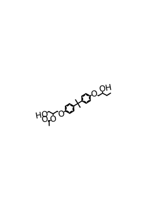 CCC(O)COc1ccc(C(C)(C)c2ccc(OCC(CO)OC(C)=O)cc2)cc1